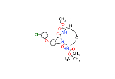 CCOC(=O)[C@@]12C[C@H]1/C=C\CCCCC[C@H](NC(=O)OC(C)(C)C)C(=O)N1Cc3ccc(Oc4cccc(Cl)c4)cc3CC1C(=O)N2